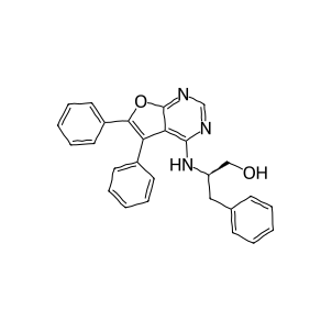 OC[C@@H](Cc1ccccc1)Nc1ncnc2oc(-c3ccccc3)c(-c3ccccc3)c12